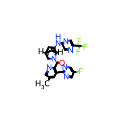 Cc1cnc(C(=O)N2C[C@@H]3C[C@@H](Nc4cnc(C(F)(F)F)cn4)[C@@H]2C3)c(-c2ncc(F)cn2)c1